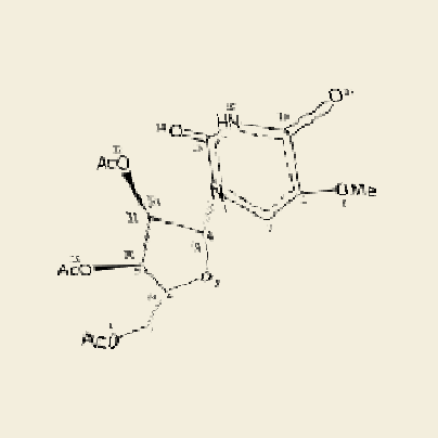 COc1cn([C@@H]2O[C@H](COC(C)=O)[C@@H](OC(C)=O)[C@H]2OC(C)=O)c(=O)[nH]c1=O